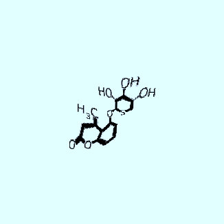 Cc1cc(=O)oc2cccc(O[C@@H]3SC[C@@H](O)[C@H](O)[C@H]3O)c12